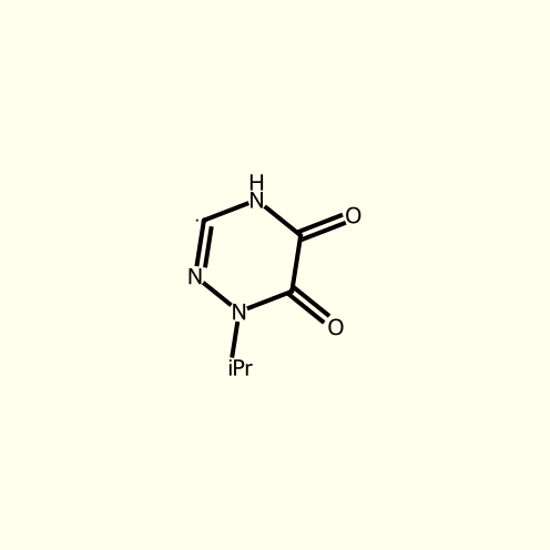 CC(C)n1n[c][nH]c(=O)c1=O